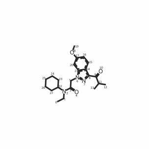 CCN(C(=O)Cn1nc(C(=O)C(C)C)c2ccc(OC)cc21)C1CCCCC1